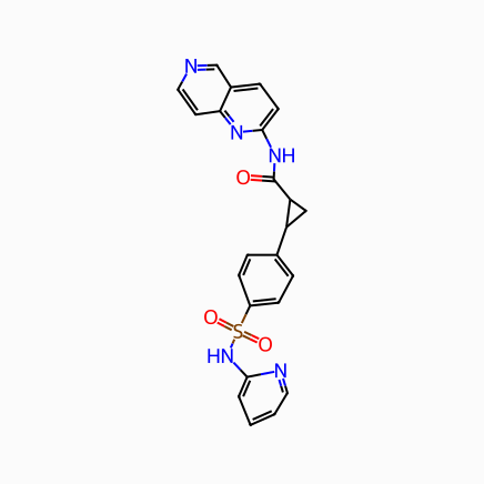 O=C(Nc1ccc2cnccc2n1)C1CC1c1ccc(S(=O)(=O)Nc2ccccn2)cc1